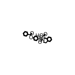 O=C(Oc1ccc(S(=O)(=O)N2CCc3ccccc3[C@@H]2C(=O)O)cc1)c1ccccc1